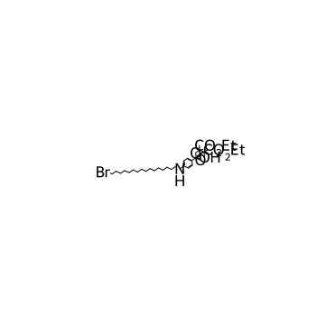 CCOC(=O)C(O)C(OC(=O)c1ccc(NCCCCCCCCCCCCCCCCBr)cc1)C(=O)OCC